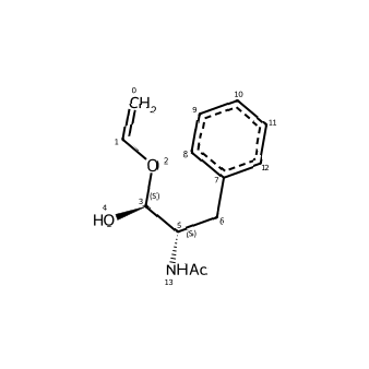 C=CO[C@H](O)[C@H](Cc1ccccc1)NC(C)=O